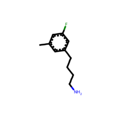 Cc1cc(F)cc(CCCCN)c1